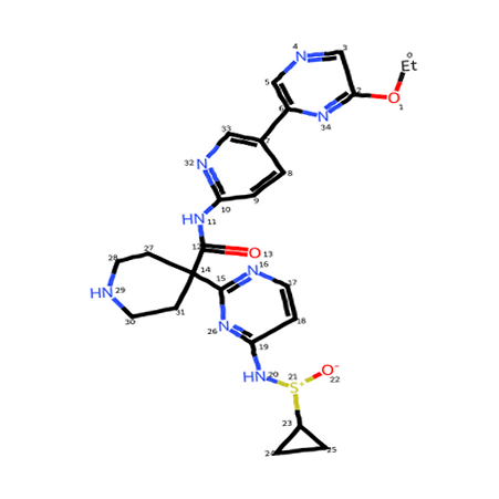 CCOc1cncc(-c2ccc(NC(=O)C3(c4nccc(N[S+]([O-])C5CC5)n4)CCNCC3)nc2)n1